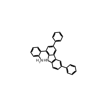 Nc1ccccc1-c1cc(-c2ccccc2)cc2c1[nH]c1ccc(-c3ccccc3)cc12